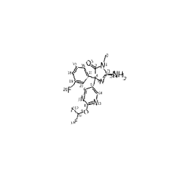 CN1C(=O)C(c2cnc(OC(F)F)nc2)(c2cccc(F)c2)N=C1N